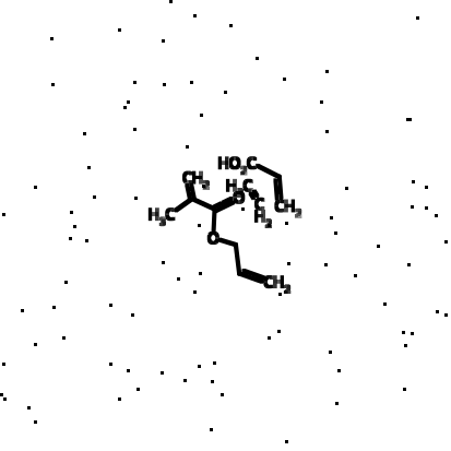 C=C.C=CC(=O)O.C=CCOC(=O)C(=C)C